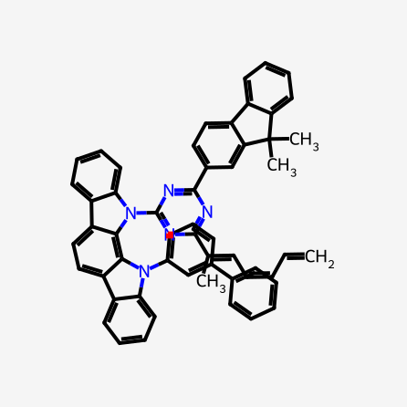 C=C/C=C\C=C(/C)c1nc(-c2ccc3c(c2)C(C)(C)c2ccccc2-3)nc(-n2c3ccccc3c3ccc4c5ccccc5n(-c5cccc(-c6ccccc6)c5)c4c32)n1